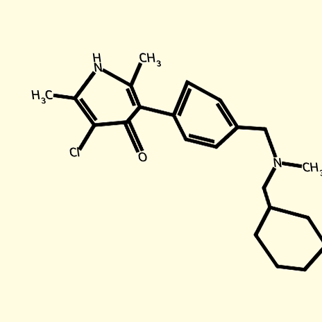 Cc1[nH]c(C)c(-c2ccc(CN(C)CC3CCCCC3)cc2)c(=O)c1Cl